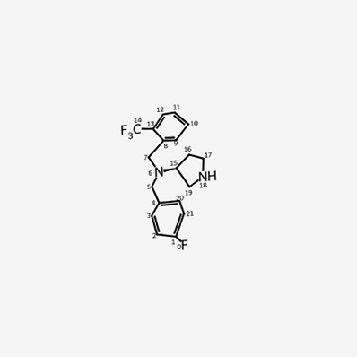 Fc1ccc(CN(Cc2ccccc2C(F)(F)F)[C@H]2CCNC2)cc1